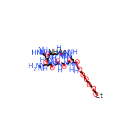 CCOCCOCCOCCOCCOCCOCCNC(=O)C(CCCNC(=N)N)NC(=O)CNC(=O)CNC(=O)CNC(=O)C(CCCNC(=N)N)NC(=O)[C@@H](CCCNC(=N)N)NC(=O)C(CCCNC(=N)N)NC(C)=O